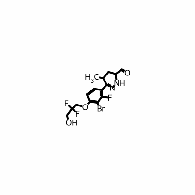 CC1CC(C=O)NN=C1c1ccc(OCC(F)(F)CO)c(Br)c1F